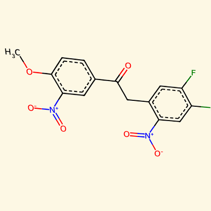 COc1ccc(C(=O)Cc2cc(F)c(F)cc2[N+](=O)[O-])cc1[N+](=O)[O-]